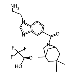 CC1(C)CC2CC(C)(CN2C(=O)c2ccc3c(c2)ncn3CCN)C1.O=C(O)C(F)(F)F